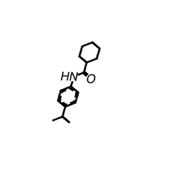 CC(C)c1ccc(NC(=O)C2CCCCC2)cc1